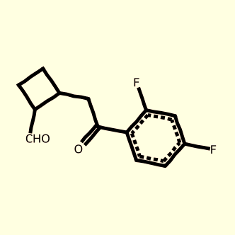 O=CC1CCC1CC(=O)c1ccc(F)cc1F